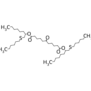 CCCCCCSCC(CCCCCC)OC(=O)CCCCC(=O)CCCCC(=O)OC(CCCCCC)CSCCCCCC